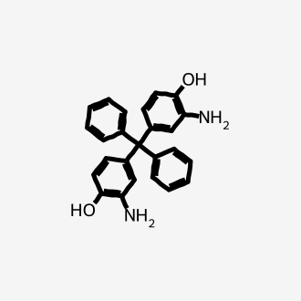 Nc1cc(C(c2ccccc2)(c2ccccc2)c2ccc(O)c(N)c2)ccc1O